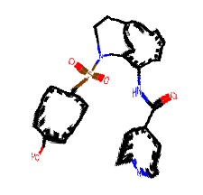 O=C(Nc1cccc2c1N(S(=O)(=O)c1ccc(O)cc1)CC2)c1ccncc1